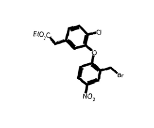 CCOC(=O)Cc1ccc(Cl)c(Oc2ccc([N+](=O)[O-])cc2CBr)c1